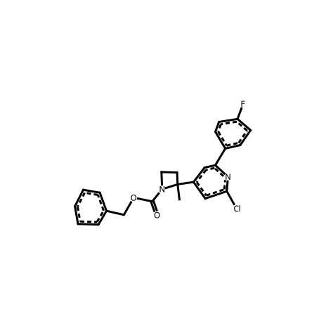 CC1(c2cc(Cl)nc(-c3ccc(F)cc3)c2)CCN1C(=O)OCc1ccccc1